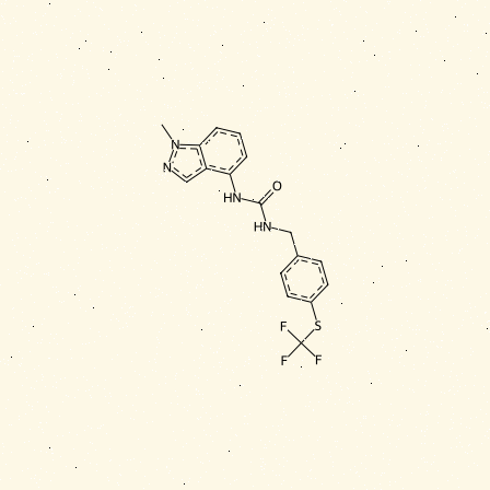 Cn1ncc2c(NC(=O)NCc3ccc(SC(F)(F)F)cc3)cccc21